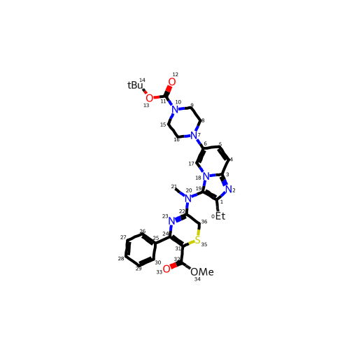 CCc1nc2ccc(N3CCN(C(=O)OC(C)(C)C)CC3)cn2c1N(C)C1=NC(c2ccccc2)=C(C(=O)OC)SC1